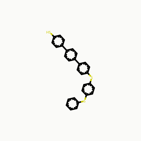 Sc1ccc(-c2ccc(-c3ccc(Sc4ccc(Sc5ccccc5)cc4)cc3)cc2)cc1